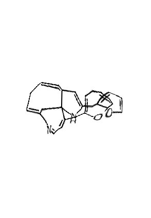 C1=NC2=CCC=C3C=C(c4ccco4)NC32C(c2ccco2)=C1